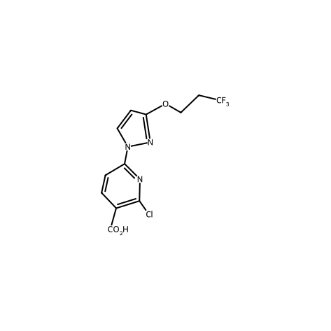 O=C(O)c1ccc(-n2ccc(OCCC(F)(F)F)n2)nc1Cl